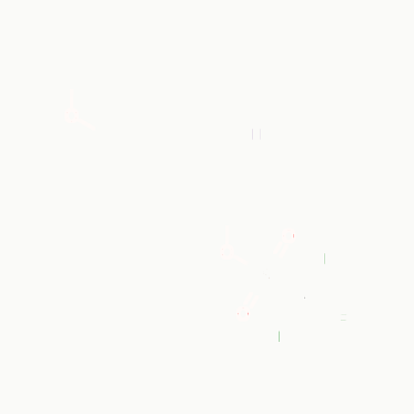 COc1c(C)cc(COS(=O)(=O)C(F)(F)F)cc1C.I